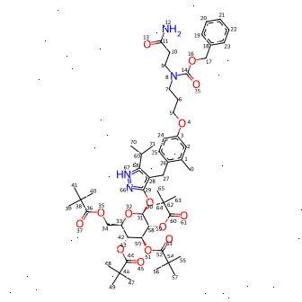 Cc1cc(OCCCN(CCC(N)=O)C(=O)OCc2ccccc2)ccc1Cc1c(O[C@@H]2O[C@H](COC(=O)C(C)(C)C)[C@@H](OC(=O)C(C)(C)C)[C@H](OC(=O)C(C)(C)C)[C@H]2OC(=O)C(C)(C)C)n[nH]c1C(C)C